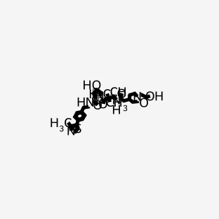 Cc1ncsc1-c1ccc(CCNC(=O)[C@@H]2C[C@@H](O)CN2C(=O)C(C)(C)[C@H](C)NC(=O)CC2CCN(CC(=O)O)CC2)cc1